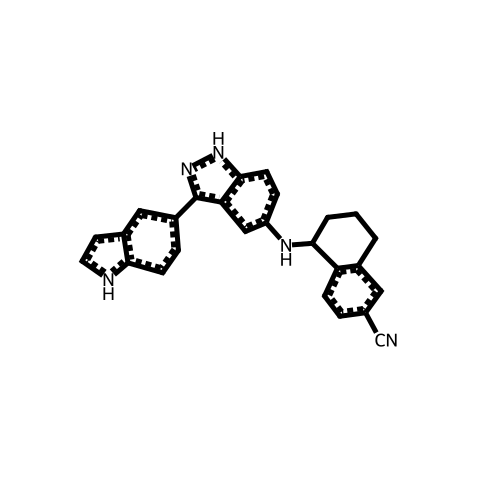 N#Cc1ccc2c(c1)CCCC2Nc1ccc2[nH]nc(-c3ccc4[nH]ccc4c3)c2c1